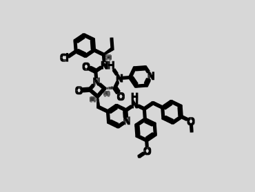 CC[C@@H](NC(=O)N1C(=O)[C@H](Cc2ccnc(NC(Cc3ccc(OC)cc3)c3ccc(OC)cc3)c2)[C@H]1C(=O)N(C)c1ccncc1)c1cccc(Cl)c1